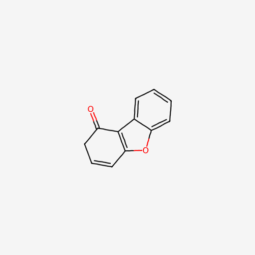 O=C1CC=Cc2oc3ccccc3c21